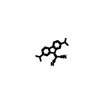 CC(C)c1ccc2c(c1)C(=C(C#N)C#N)c1cc(C(C)C)ccc1-2